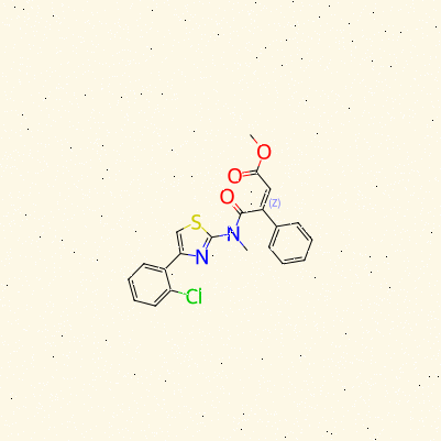 COC(=O)/C=C(\C(=O)N(C)c1nc(-c2ccccc2Cl)cs1)c1ccccc1